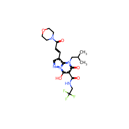 CC(C)Cn1c(=O)c(C(=O)NCC(F)(F)F)c(O)n2ncc(C=CC(=O)N3CCOCC3)c12